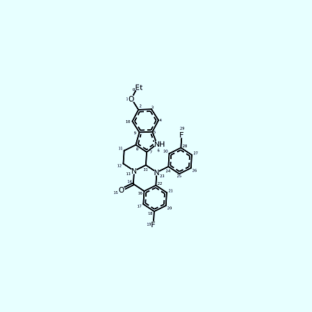 CCOc1ccc2[nH]c3c(c2c1)CCN1C(=O)c2cc(F)ccc2N(c2cccc(F)c2)C31